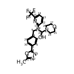 Cc1nnc(-c2ccc(CN(c3cccc(C(F)(F)F)n3)C(O)N3CCOCC3)cc2)o1